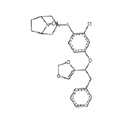 CN1C2CCC1CC(Sc1ccc(OC(Cc3ccccc3)C3=COCO3)cc1Cl)C2